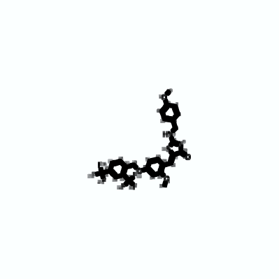 COc1ccc(CNC2=NC(=O)C(=Cc3ccc(OCc4ccc(C(F)(F)F)cc4C(F)(F)F)cc3OC)S2)cc1